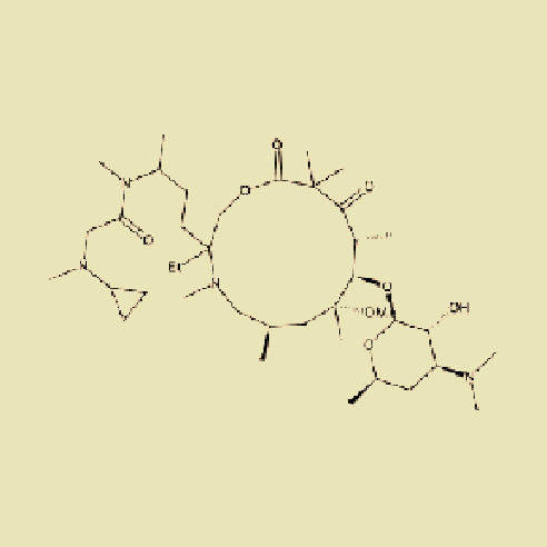 CCC1(CCC(C)N(C)C(=O)CN(C)C2CC2)COC(=O)C(C)(C)C(=O)[C@H](C)[C@@H](O[C@@H]2O[C@H](C)C[C@H](N(C)C)[C@H]2O)[C@](C)(OC)C[C@@H](C)CN1C